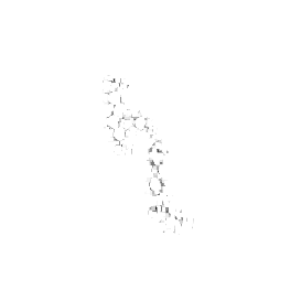 CS(=O)(=O)c1ccc(-c2ccc3cc(O)ccc3c2Oc2ccc(OCCN3CCN(c4ccc5c(c4)CN(C4CCCNC4)C5=O)CC3)cc2)cc1